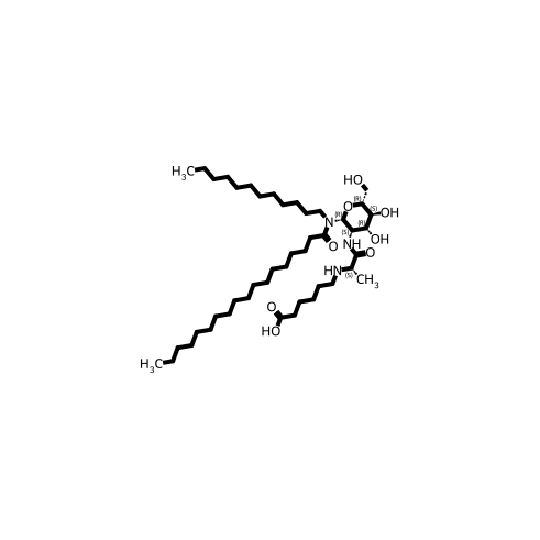 CCCCCCCCCCCCCCCCCC(=O)N(CCCCCCCCCCCC)[C@@H]1O[C@H](CO)[C@@H](O)[C@H](O)[C@@H]1NC(=O)[C@H](C)NCCCCCC(=O)O